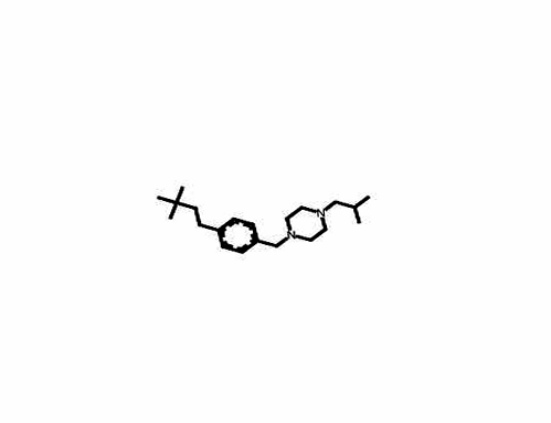 CC(C)CN1CCN(Cc2ccc(CCC(C)(C)C)cc2)CC1